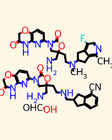 Cc1ncc(F)c2c1CC(N(C)CCC1(CN)CN(c3ccc4c(n3)NC(=O)CO4)C(=O)O1)C2.N#Cc1cccc2c1CC(CNCCC1(CN)CN(c3ccc4c(n3)NC(=O)CO4)C(=O)O1)C2.O=CO